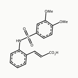 COc1ccc(S(=O)(=O)Nc2ccccc2/C=C/C(=O)O)cc1OC